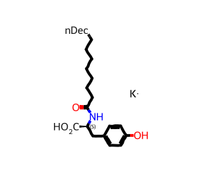 CCCCCCCCCCCCCCCCCC(=O)N[C@@H](Cc1ccc(O)cc1)C(=O)O.[K]